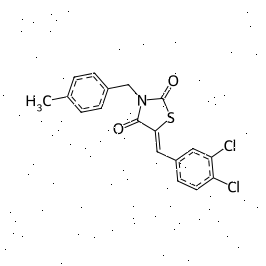 Cc1ccc(CN2C(=O)S/C(=C\c3ccc(Cl)c(Cl)c3)C2=O)cc1